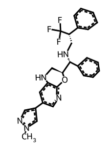 Cn1cc(-c2cnc3c(c2)NC[C@@H]([C@H](NC[C@@H](c2ccccc2)C(F)(F)F)c2ccccc2)O3)cn1